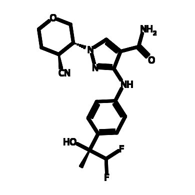 C[C@@](O)(c1ccc(Nc2nn([C@H]3COCC[C@@H]3C#N)cc2C(N)=O)cc1)C(F)F